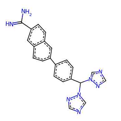 N=C(N)c1ccc2cc(-c3ccc(C(n4cncn4)n4cncn4)cc3)ccc2c1